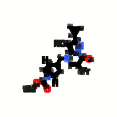 CC(C)c1cn(C[C@H]2C[C@H]3C[C@@H]2CN3C(=O)OC(C)(C)C)c2c(C#N)c(C3CC3)nn2c1=O